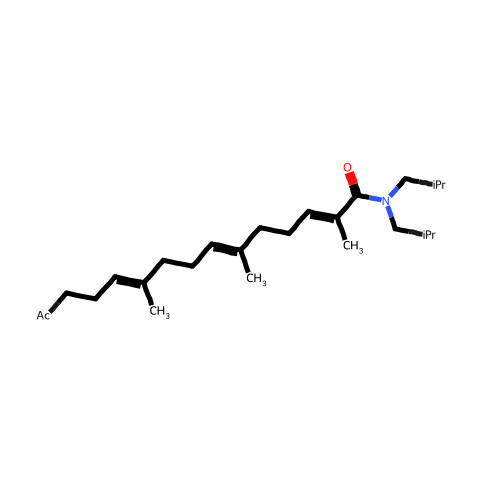 CC(=O)CC/C=C(\C)CC/C=C(\C)CC/C=C(\C)C(=O)N(CC(C)C)CC(C)C